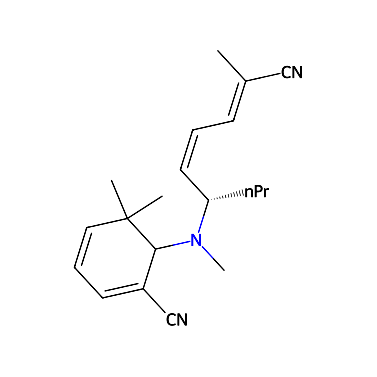 CCC[C@@H](/C=C\C=C(/C)C#N)N(C)C1C(C#N)=CC=CC1(C)C